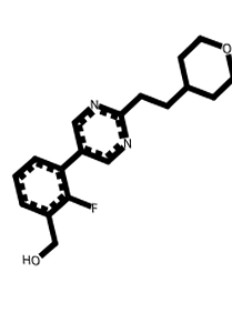 OCc1cccc(-c2cnc(CCC3CCOCC3)nc2)c1F